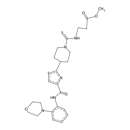 COC(=O)CCNC(=S)N1CCC(c2nc(C(=O)Nc3ccccc3N3CCOCC3)cs2)CC1